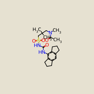 CC(=O)N(C)CC(C)(C)CS(=O)(=O)NC(=O)Nc1c2c(cc3c1CCC3)CCC2